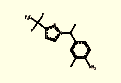 Cc1cc(C(C)n2ccc(C(F)(F)C(F)(F)F)n2)ccc1N